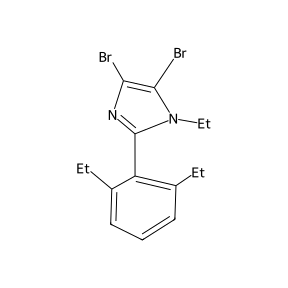 CCc1cccc(CC)c1-c1nc(Br)c(Br)n1CC